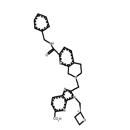 O=C(O)c1ccc2nc(CN3CCc4ccc(C(=O)NCc5ccccc5)nc4C3)n(C[C@@H]3CCO3)c2n1